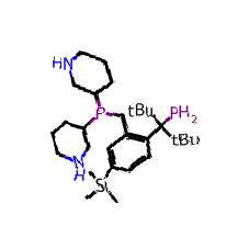 CC(C)(C)C(P)(c1ccc([Si](C)(C)C)cc1CP(C1CCCNC1)C1CCCNC1)C(C)(C)C